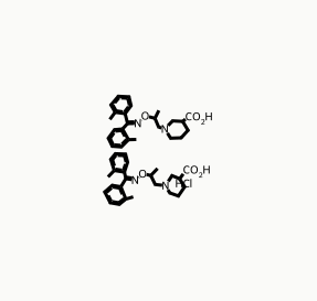 Cc1ccccc1C(=NOC(C)CN1CCCC(C(=O)O)C1)c1ccccc1C.Cc1ccccc1C(=NOC(C)CN1CCCC(C(=O)O)C1)c1ccccc1C.Cl